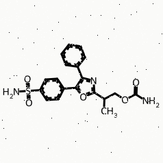 CC(COC(N)=O)c1nc(-c2ccccc2)c(-c2ccc(S(N)(=O)=O)cc2)o1